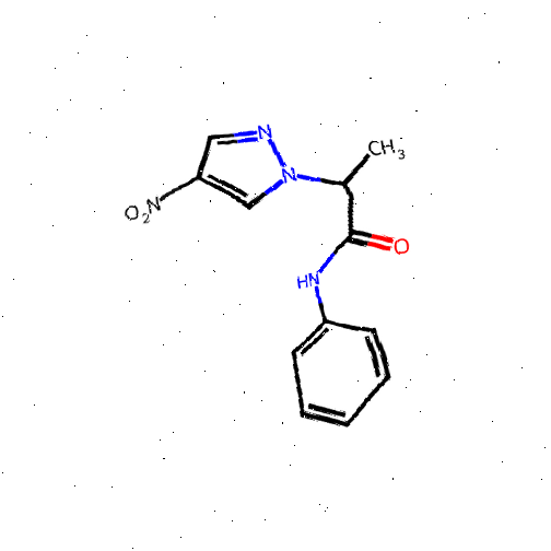 CC(C(=O)Nc1ccccc1)n1cc([N+](=O)[O-])cn1